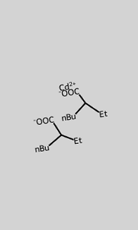 CCCCC(CC)C(=O)[O-].CCCCC(CC)C(=O)[O-].[Cd+2]